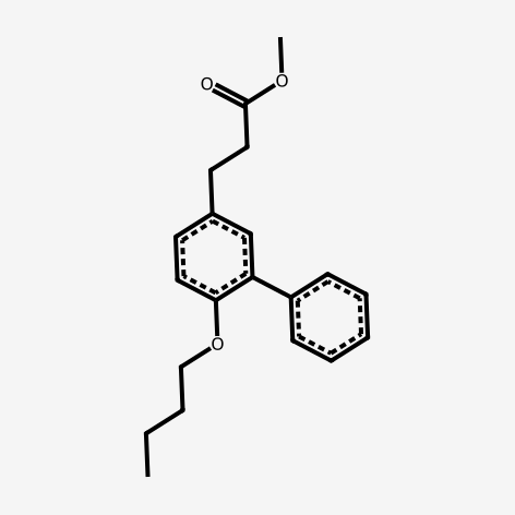 CCCCOc1ccc(CCC(=O)OC)cc1-c1ccccc1